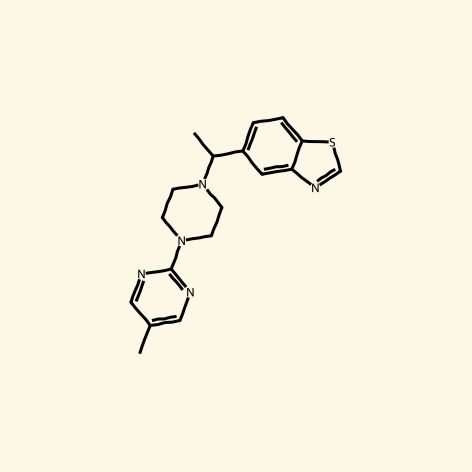 Cc1cnc(N2CCN(C(C)c3ccc4scnc4c3)CC2)nc1